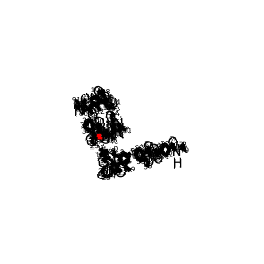 CCc1cc(C)cc(CC)c1-c1c(OC(=O)C(C)(C)C)n2n(c1=O)CCOCC2.COC(=O)c1ccccc1S(=O)(=O)NC(=O)N(C)c1nc(C)nc(OC)n1.COc1ccccc1C(=O)NS(=O)(=O)c1ccc(C(=O)NC2CC2)cc1.Cc1c(C(=O)c2cnn(C)c2O)ccc(S(C)(=O)=O)c1C1=NOCC1